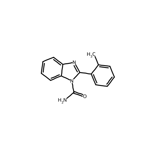 Cc1ccccc1-c1nc2ccccc2n1C(N)=O